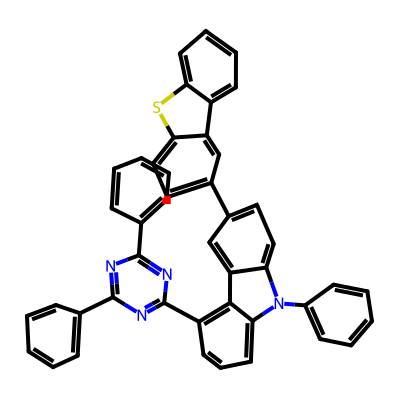 c1ccc(-c2nc(-c3ccccc3)nc(-c3cccc4c3c3cc(-c5ccc6sc7ccccc7c6c5)ccc3n4-c3ccccc3)n2)cc1